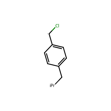 CC(C)Cc1ccc([CH]Cl)cc1